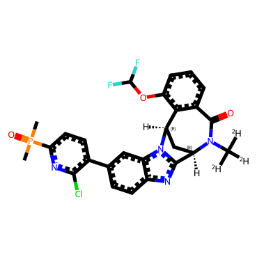 [2H]C([2H])([2H])N1C(=O)c2cccc(OC(F)F)c2[C@H]2C[C@@H]1c1nc3ccc(-c4ccc(P(C)(C)=O)nc4Cl)cc3n12